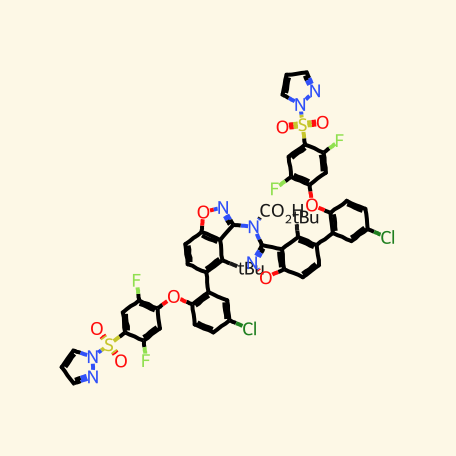 CC(C)(C)c1c(-c2cc(Cl)ccc2Oc2cc(F)c(S(=O)(=O)n3cccn3)cc2F)ccc2onc(N(C(=O)O)c3noc4ccc(-c5cc(Cl)ccc5Oc5cc(F)c(S(=O)(=O)n6cccn6)cc5F)c(C(C)(C)C)c34)c12